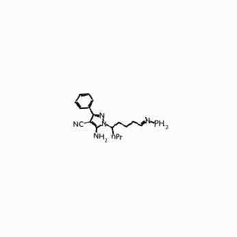 CCCC(CCC/C=N/P)n1nc(-c2ccccc2)c(C#N)c1N